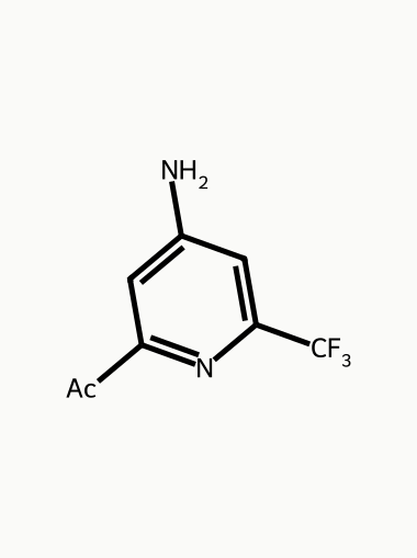 CC(=O)c1cc(N)cc(C(F)(F)F)n1